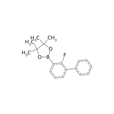 CC1(C)OB(c2cccc(-c3ccccc3)c2F)OC1(C)C